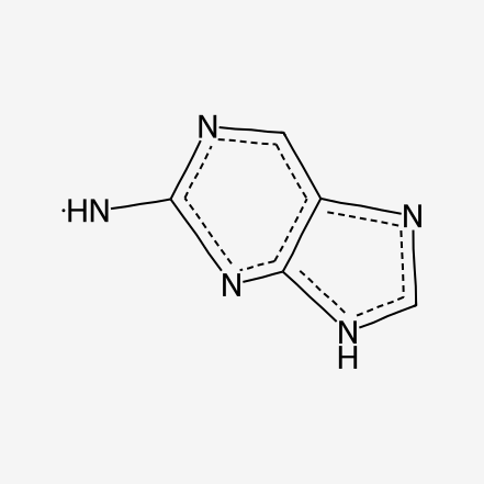 [NH]c1ncc2nc[nH]c2n1